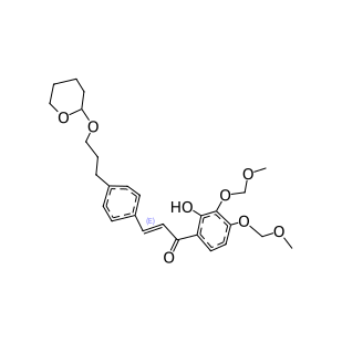 COCOc1ccc(C(=O)/C=C/c2ccc(CCCOC3CCCCO3)cc2)c(O)c1OCOC